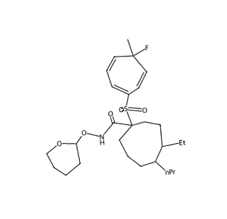 CCCC1CCCC(C(=O)NOC2CCCCO2)(S(=O)(=O)C2=CC=CC(C)(F)C=C2)CCC1CC